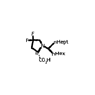 CCCCCCCC(CCCCCC)N1CC(F)(F)C[C@H]1C(=O)O